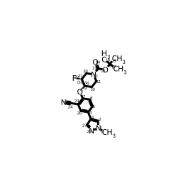 Cn1cc(-c2ccc(O[C@@H]3CCN(C(=O)OC(C)(C)C)C[C@@H]3F)c(C#N)c2)cn1